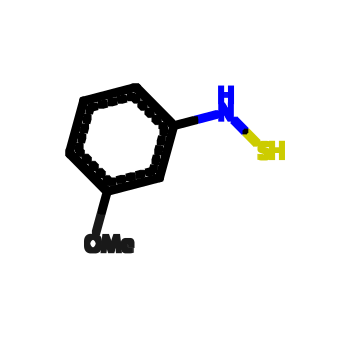 COc1cccc(NS)c1